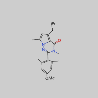 COc1cc(C)c(-c2nn3c(C)cc(CC(C)C)c3c(=O)n2C)c(C)c1